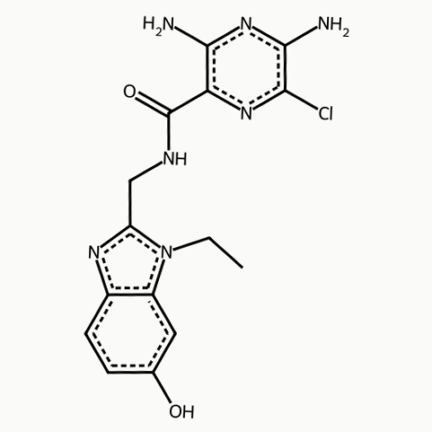 CCn1c(CNC(=O)c2nc(Cl)c(N)nc2N)nc2ccc(O)cc21